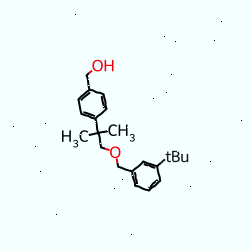 CC(C)(C)c1cccc(COCC(C)(C)c2ccc(CO)cc2)c1